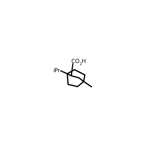 CC(C)C12CCC(C)(CC1)CC2C(=O)O